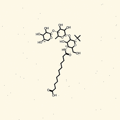 CC1O[C@@H](OC2C(O)[C@@H](NC(=O)CCCCCCCCCCC(=O)O)C(CO)O[C@H]2C(C)(C)C)C(O)C(O)[C@H]1O[C@@H]1OC[C@@H](O)C(O)C1O